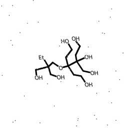 CCC(CO)(CO)COC(CCO)(CCO)C(O)(CO)CCO